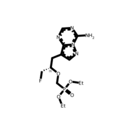 CCOP(=O)(CO[C@H](CF)Cc1cnn2c(N)ncnc12)OCC